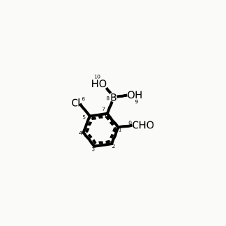 O=Cc1cccc(Cl)c1B(O)O